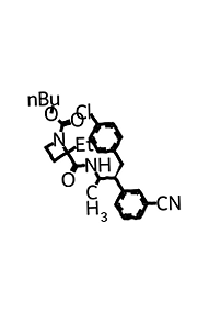 CCCCOC(=O)N1CCC1(CC)C(=O)NC(C)[C@@H](Cc1ccc(Cl)cc1)c1cccc(C#N)c1